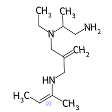 C=C(CN/C(C)=C\C)CN(CC)C(C)CN